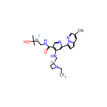 CC(C)(O)[C@H](F)CNC(=O)c1cnc(-c2ccc3cc(C#N)cnn23)cc1NC[C@@H]1CCN1CC(F)(F)F